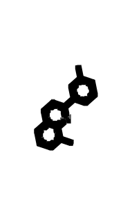 Cc1cccc(-c2[c]cc3cccc(C)c3n2)c1